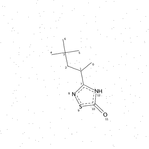 CC(CC(C)(C)C)c1nsc(=O)[nH]1